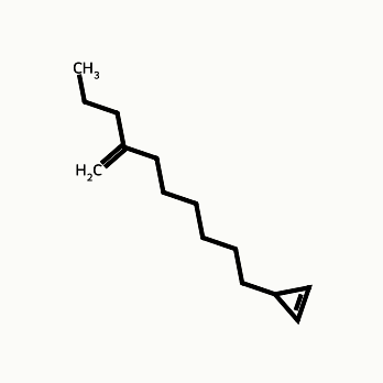 C=C(CCC)CCCCCCC1C=C1